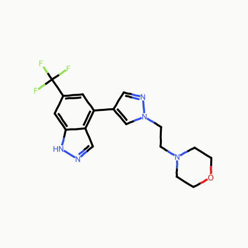 FC(F)(F)c1cc(-c2cnn(CCN3CCOCC3)c2)c2cn[nH]c2c1